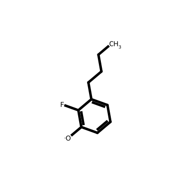 CCCCc1cccc([O])c1F